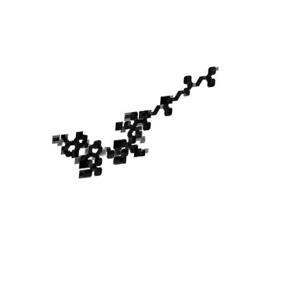 CC(C)(COP(=O)(O)OP(=O)(O)OC[C@H]1O[C@@H](n2cnc3c(N)ncnc32)[C@H](O)[C@@H]1OP(=O)(O)O)[C@@H](O)C(=O)NCCC(=O)NCCSC(=O)CCC(=O)[O-].[Na+]